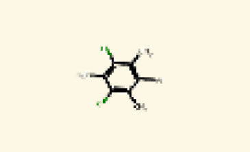 Cc1c(Cl)c(C)c(C(C)C)c(C)c1Cl